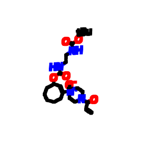 C=CC(=O)N1CC[N+]([O-])(/C2=C/C(OC(=O)NCCNC(=O)OC(C)(C)C)CCCCC2)CC1